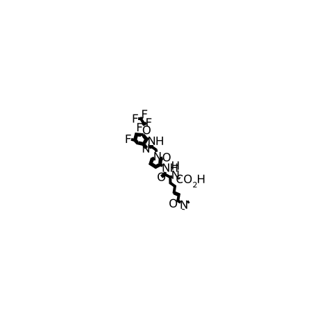 CN(C)C(=O)C=CCCC(NC(=O)O)C(=O)Nc1cccn(Cc2nc3cc(F)cc(OC(F)(F)C(F)F)c3[nH]2)c1=O